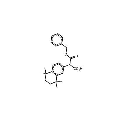 CC1(C)CCC(C)(C)c2cc(C(C(=O)O)C(=O)OCc3ccccc3)ccc21